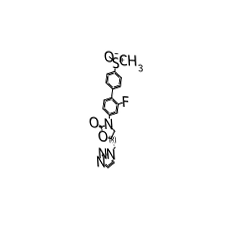 C[S+]([O-])c1ccc(-c2ccc(N3C[C@H](Cn4ccnn4)OC3=O)cc2F)cc1